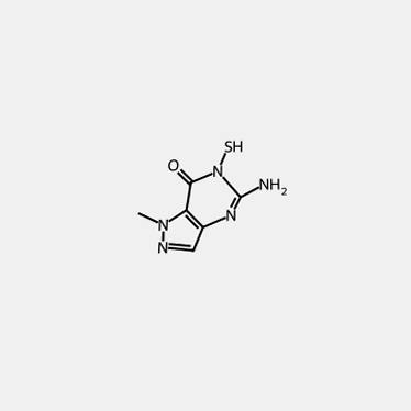 Cn1ncc2nc(N)n(S)c(=O)c21